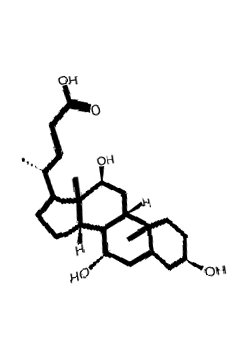 C[C@H](CCC(=O)O)C1CC[C@H]2C3[C@H](O)CC4C[C@H](O)CCC4(C)[C@H]3C[C@H](O)C12C